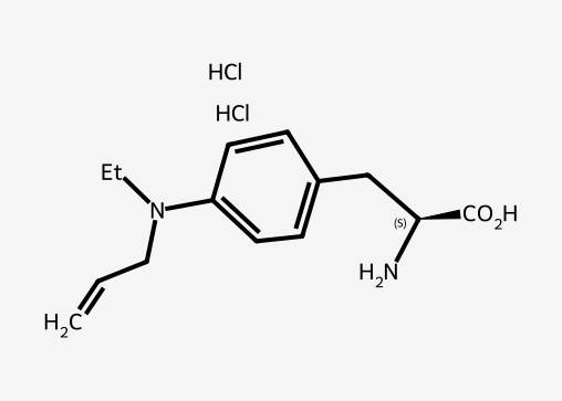 C=CCN(CC)c1ccc(C[C@H](N)C(=O)O)cc1.Cl.Cl